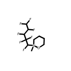 C[Si]1(C(F)C(F)(F)C(F)C(F)C(F)F)CCCCO1